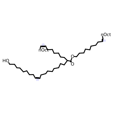 CCCCCCCC/C=C\CCCCCCCCOC(=O)C(CCCCCC/C=C\CCCCCCCC)CCCCCCCC/C=C\CCCCCCCCO